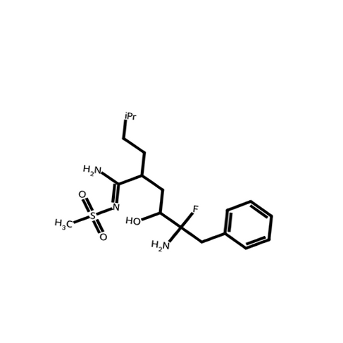 CC(C)CCC(CC(O)C(N)(F)Cc1ccccc1)C(N)=NS(C)(=O)=O